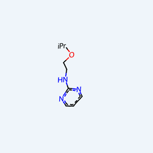 CC(C)OCCNc1ncccn1